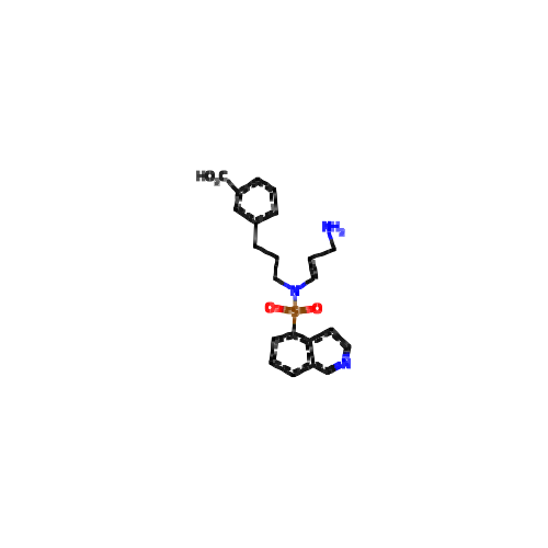 NCC=CN(CCCc1cccc(C(=O)O)c1)S(=O)(=O)c1cccc2cnccc12